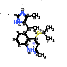 C=C/C=C(/SC(C)C)c1c(N)cccc1C(C)c1[nH]cnc1C